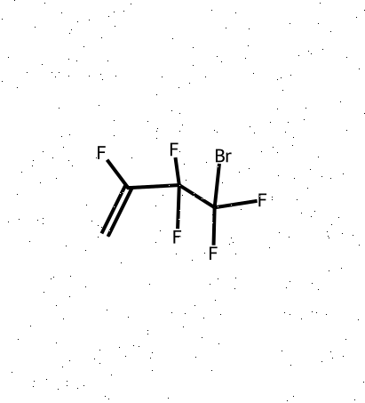 C=C(F)C(F)(F)C(F)(F)Br